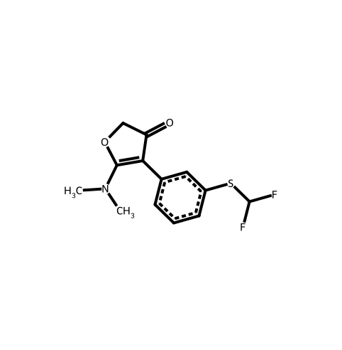 CN(C)C1=C(c2cccc(SC(F)F)c2)C(=O)CO1